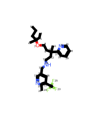 CCCC(C)(CC)OCCC(C)(CCNCc1cnc(C)c(C(F)(F)F)c1)c1ccccn1